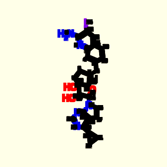 Nc1nc2cc(C[C@@H]3CC[C@@]4(O)[C@@H]3O[C@@H](n3ccc5c(C6CC6)ncnc53)[C@@H]4O)ccc2cc1I